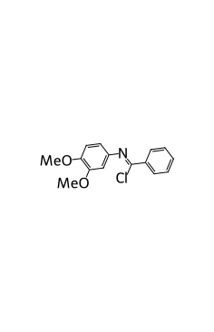 COc1ccc(N=C(Cl)c2ccccc2)cc1OC